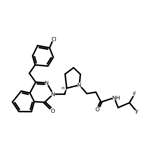 O=C(CCN1CCC[C@@H]1Cn1nc(Cc2ccc(Cl)cc2)c2ccccc2c1=O)NCC(F)F